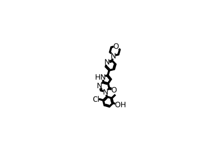 Cc1c(O)ccc(Cl)c1-n1cnc2[nH]c(-c3ccc(N4CCOCC4)nc3)cc2c1=O